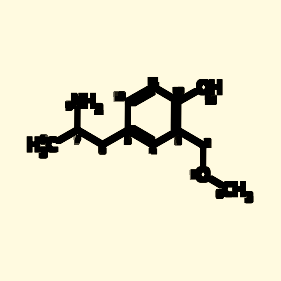 COCc1cc(CC(C)N)ccc1O